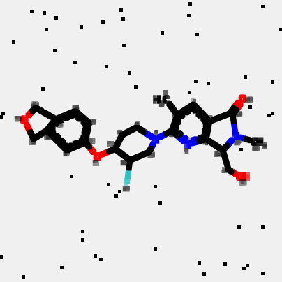 Cc1cc2c(nc1N1CCC(Oc3ccc4c(c3)COC4)C(F)C1)C(CO)N(C)C2=O